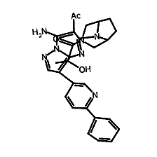 CC(=O)c1c(N2C3CCC2CN(C(=O)C(C)O)C3)nc2c(-c3ccc(-c4ccccc4)nc3)cnn2c1N